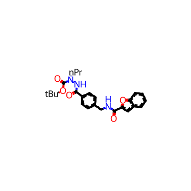 CCCN(NC(=O)c1ccc(CNC(=O)c2cc3ccccc3o2)cc1)C(=O)OC(C)(C)C